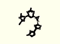 Cc1nc([C@H]2C[C@@H]2c2nnc(-c3ccn(C)n3)s2)cc(-n2nc(C)nc2C)n1